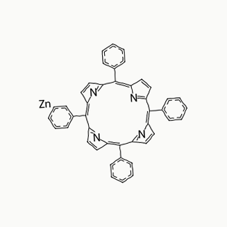 C1=CC2=C(c3ccccc3)C3=NC(=C(c4ccccc4)C4=NC(=C(c5ccccc5)C5=NC(=C(c6ccccc6)C1=N2)C=C5)C=C4)C=C3.[Zn]